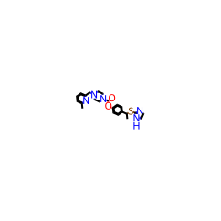 Cc1cccc(CN2CCN(C(=O)Oc3ccc(C(C)Sc4ncc[nH]4)cc3)CC2)n1